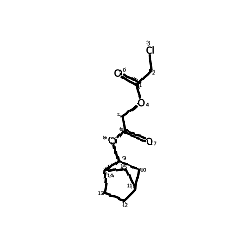 O=C(CCl)OCC(=O)OC1CC2CCC1C2